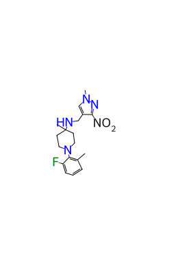 Cc1cccc(F)c1N1CCC(C)(NCc2cn(C)nc2[N+](=O)[O-])CC1